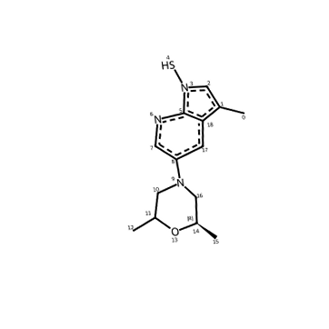 Cc1cn(S)c2ncc(N3CC(C)O[C@H](C)C3)cc12